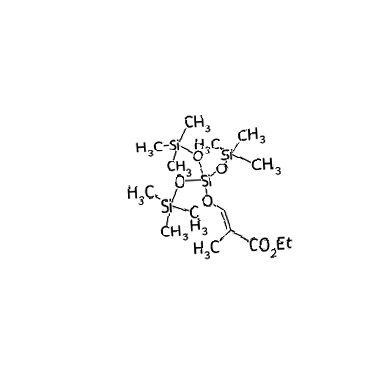 CCOC(=O)C(C)=CO[Si](O[Si](C)(C)C)(O[Si](C)(C)C)O[Si](C)(C)C